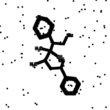 CC(CC(c1ccccc1)C(C)(C)C)C(C)(C)C(CC(C)(C)C)c1ccncc1